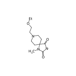 CCOCCN1CCC2(CC1)C(=O)[N]C(=O)N2C